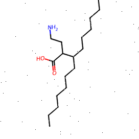 CCCCCCCC(CCCCCC)C(CCN)C(=O)O